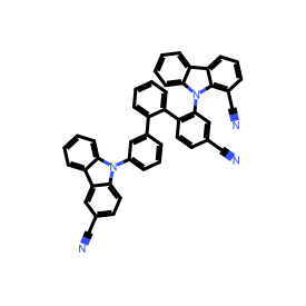 N#Cc1ccc(-c2ccccc2-c2cccc(-n3c4ccccc4c4cc(C#N)ccc43)c2)c(-n2c3ccccc3c3cccc(C#N)c32)c1